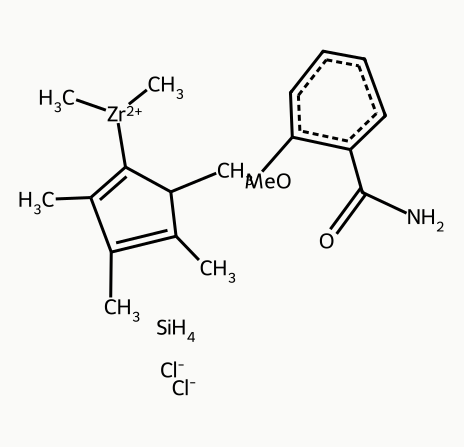 CC1=C(C)C(C)[C]([Zr+2]([CH3])[CH3])=C1C.COc1ccccc1C(N)=O.[Cl-].[Cl-].[SiH4]